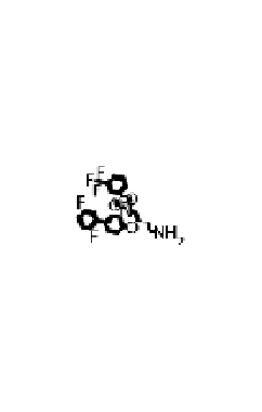 NCC[C@H]1CN(S(=O)(=O)c2cccc(C(F)(F)F)c2)c2cc(-c3cc(F)ccc3F)ccc2O1